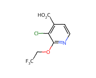 O=C(O)c1ccnc(OCC(F)(F)F)c1Cl